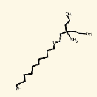 CC(C)CCCCCCCCCCOCCC(N)(CCO)CCO